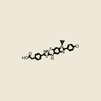 O=C(O)Cc1ccc(-c2nnc(Nc3cc4nc(-c5ccc(Cl)cc5)n(C5CC5)c4cc3F)s2)cc1